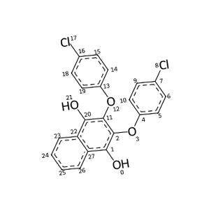 Oc1c(Oc2ccc(Cl)cc2)c(Oc2ccc(Cl)cc2)c(O)c2ccccc12